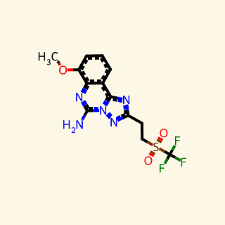 COc1cccc2c1nc(N)n1nc(CCS(=O)(=O)C(F)(F)F)nc21